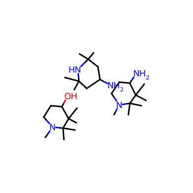 CC1(C)CC(N)CC(C)(C)N1.CN1CCC(N)C(C)(C)C1(C)C.CN1CCC(O)C(C)(C)C1(C)C